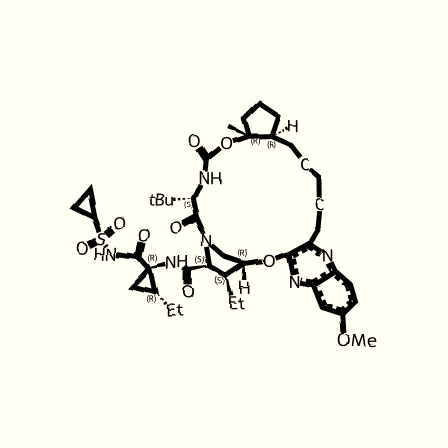 CC[C@@H]1[C@@H]2CN(C(=O)[C@H](C(C)(C)C)NC(=O)O[C@]3(C)CCC[C@H]3CCCCCc3nc4ccc(OC)cc4nc3O2)[C@@H]1C(=O)N[C@]1(C(=O)NS(=O)(=O)C2CC2)C[C@H]1CC